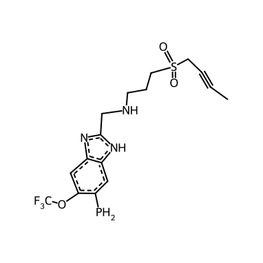 CC#CCS(=O)(=O)CCCNCc1nc2cc(OC(F)(F)F)c(P)cc2[nH]1